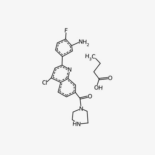 CCCC(=O)O.Nc1cc(-c2cc(Cl)c3ccc(C(=O)N4CCNCC4)cc3n2)ccc1F